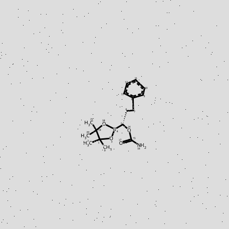 CC1(C)OB([C@H](CCc2ccccc2)OC(N)=O)OC1(C)C